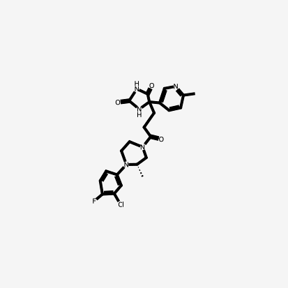 Cc1ccc(C2(CCC(=O)N3CCN(c4ccc(F)c(Cl)c4)[C@@H](C)C3)NC(=O)NC2=O)cn1